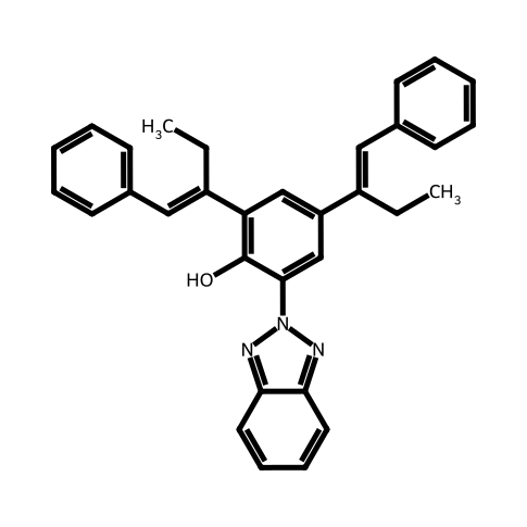 CCC(=Cc1ccccc1)c1cc(C(=Cc2ccccc2)CC)c(O)c(-n2nc3ccccc3n2)c1